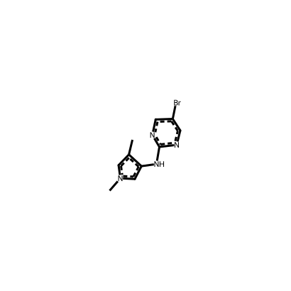 Cc1cn(C)cc1Nc1ncc(Br)cn1